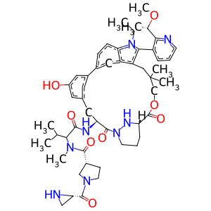 CCn1c(-c2cccnc2[C@H](C)OC)c2c3cc(ccc31)-c1cc(O)cc(c1)C[C@H](NC(=O)C(C(C)C)N(C)C(=O)[C@@H]1CCN(C(=O)[C@@H]3CN3)C1)C(=O)N1CCC[C@H](N1)C(=O)OCC(C)(C)C2